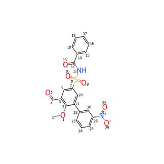 COc1c(C=O)cc(S(=O)(=O)NC(=O)c2ccccc2)cc1-c1cccc([N+](=O)[O-])c1